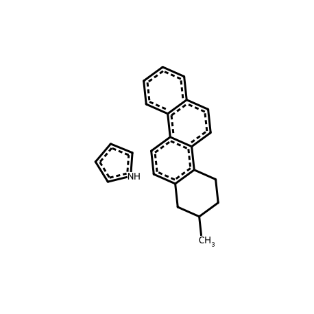 CC1CCc2c(ccc3c2ccc2ccccc23)C1.c1cc[nH]c1